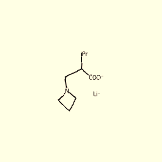 CC(C)C(CN1CCC1)C(=O)[O-].[Li+]